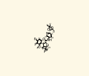 COc1c([C@H]2[C@H](C(=O)Nc3ccc([C@@H]4OC(C)(C)O[C@H]4C)nc3)O[C@@](C)(C(F)(F)F)[C@H]2C)ccc(F)c1F